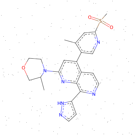 Cc1cc(S(C)(=O)=O)ncc1-c1cc(N2CCOCC2C)nc2c(-c3ccn[nH]3)nccc12